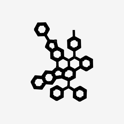 Cc1ccc(N2B3c4cc5oc(-c6ccccc6)cc5cc4-n4c5cc6ccccc6cc5c5c(N(c6ccccc6)c6ccccc6)cc(c3c54)-c3ccccc32)cc1